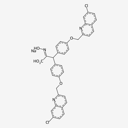 O=C(O)C(=NO)C(c1ccc(OCc2ccc3ccc(Cl)cc3n2)cc1)c1ccc(OCc2ccc3ccc(Cl)cc3n2)cc1.[Na]